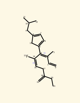 C=C/C(C)=C(C1=CC=C(CC(C)C)C1)\C(F)=C/CC(=C)CC